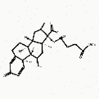 COC(=O)CCC(=O)O[C@]1(C(=O)Cl)C(C)C[C@H]2[C@@H]3CCC4=CC(=O)C=C[C@]4(C)[C@@]3(F)C(O)C[C@@]21C